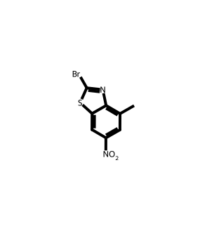 Cc1cc([N+](=O)[O-])cc2sc(Br)nc12